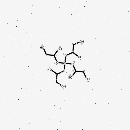 OCC(O)[O][Ti]([O]C(O)CO)([O]C(O)CO)[O]C(O)CO